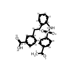 CC(=O)c1ccc(S(=O)(=O)Nc2ccccc2CCc2cccc(C(=O)O)c2)cc1